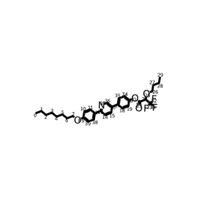 CCCCCCCCOc1ccc(-c2ccc(-c3ccc(OC(=O)C(OCCCC)C(F)(F)F)cc3)cn2)cc1